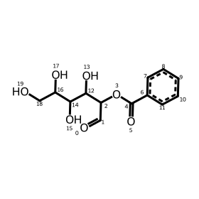 O=CC(OC(=O)c1ccccc1)C(O)C(O)C(O)CO